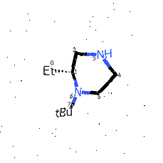 CC[C@@H]1CNCCN1C(C)(C)C